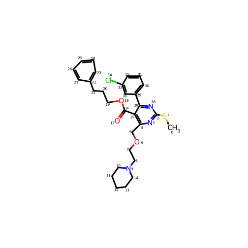 CSc1nc(COCCN2CCCCC2)c(C(=O)OCCCc2ccccc2)c(-c2cccc(Cl)c2)n1